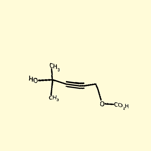 CC(C)(O)C#CCOC(=O)O